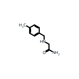 Cc1ccc(CNCC(N)=O)cc1